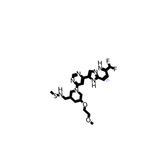 COCCOC1CC(CNSC)CN(c2cc(-c3cnc(/C=C\C(=N)C(F)F)[nH]3)ncn2)C1